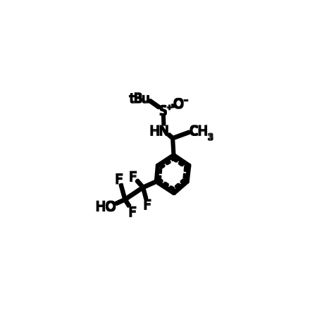 CC(N[S+]([O-])C(C)(C)C)c1cccc(C(F)(F)C(O)(F)F)c1